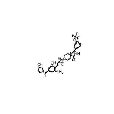 Cc1cc(C(=O)N2CCC(O)C2)cc(C)c1C=CS(=O)(=O)N1CCC2(CC1)N=C(c1cccc(OC(F)(F)F)c1)NC2=O